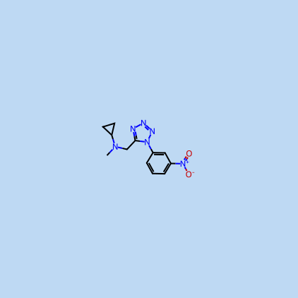 CN(Cc1nnnn1-c1cccc([N+](=O)[O-])c1)C1CC1